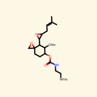 COC1C(OC(=O)NCCNC(C)=O)CCC2(CO2)C1C1OC1CC=C(C)C